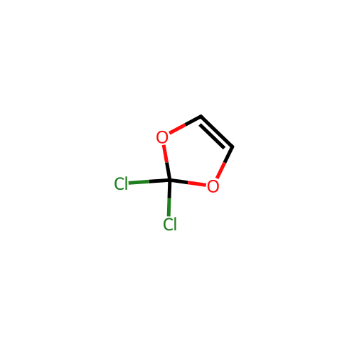 ClC1(Cl)OC=CO1